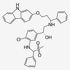 CS(=O)(=O)C(Nc1cc([C@@H](O)CNC(CCOc2ccc3c(c2)[nH]c2ccccc23)c2ccccc2)ccc1Cl)c1ccccc1